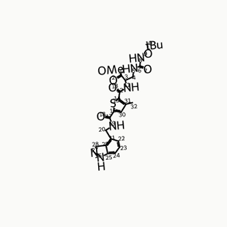 COC(=O)C(CNC(=O)NOC(C)(C)C)NC(=O)c1sc(C(=O)NCc2cccc3[nH]ncc23)cc1C